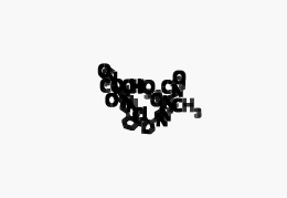 Cc1cn2nc(-c3cccc(-c4cccc(-c5cc6c(=O)n(CCN7CCOCC7C(=O)O)c(C)cn6n5)c4Cl)c3Cl)cc2c(=O)n1CCN1CCOCC1C(=O)O